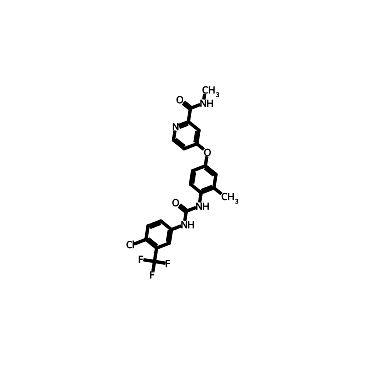 CNC(=O)c1cc(Oc2ccc(NC(=O)Nc3ccc(Cl)c(C(F)(F)F)c3)c(C)c2)ccn1